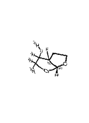 [2H]OC1([2H])[C@@H]2CCO[C@@H]2OC1([2H])[2H]